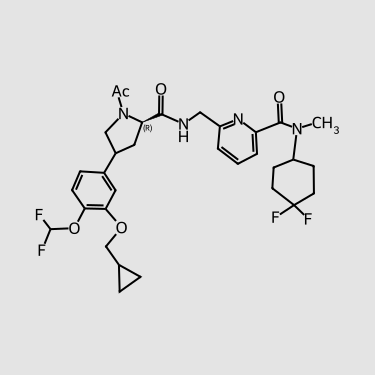 CC(=O)N1CC(c2ccc(OC(F)F)c(OCC3CC3)c2)C[C@@H]1C(=O)NCc1cccc(C(=O)N(C)C2CCC(F)(F)CC2)n1